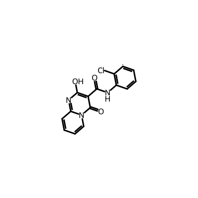 O=C(Nc1ccc[c]c1Cl)c1c(O)nc2ccccn2c1=O